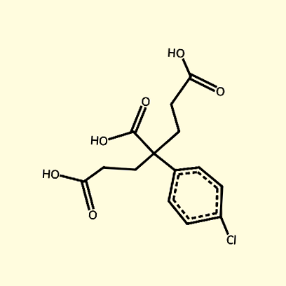 O=C(O)CCC(CCC(=O)O)(C(=O)O)c1ccc(Cl)cc1